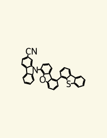 N#Cc1ccc2c3ccccc3n(-c3cccc4c3oc3cccc(-c5cccc6c5sc5ccccc56)c34)c2c1